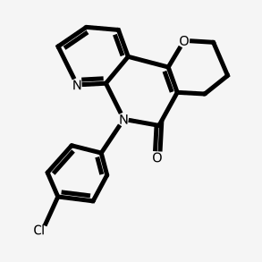 O=c1c2c(c3cccnc3n1-c1ccc(Cl)cc1)OCCC2